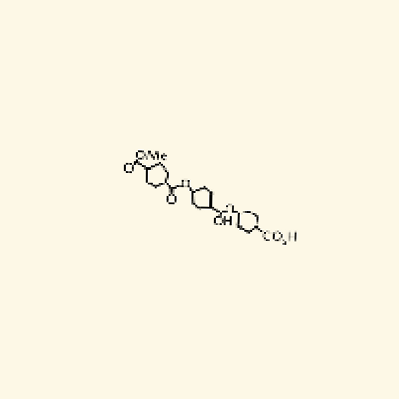 COC(=O)C1CCC(C(=O)OC2CCC(C(O)OC3CCC(C(=O)O)CC3)CC2)CC1